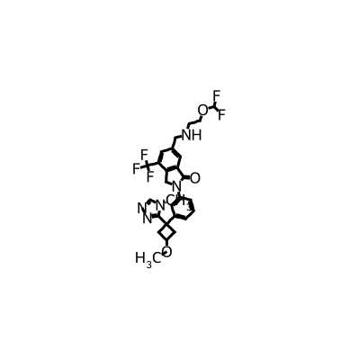 COC1CC(c2cccc(N3Cc4c(cc(CNCCOC(F)F)cc4C(F)(F)F)C3=O)c2)(c2nncn2C)C1